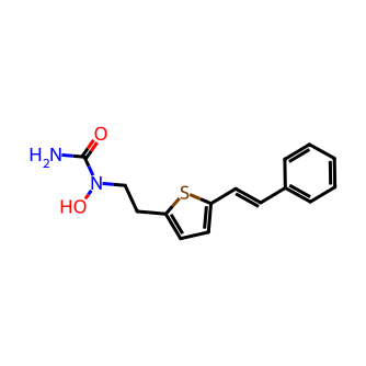 NC(=O)N(O)CCc1ccc(C=Cc2ccccc2)s1